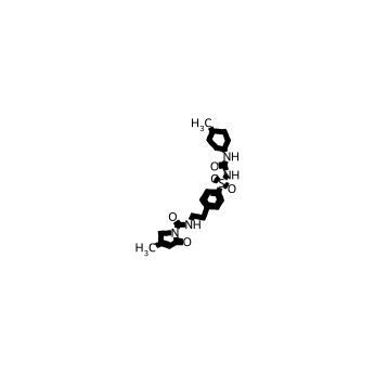 CC1=CC(=O)N(C(=O)NCCc2ccc(S(=O)(=O)NC(=O)NC3CCC(C)CC3)cc2)C1